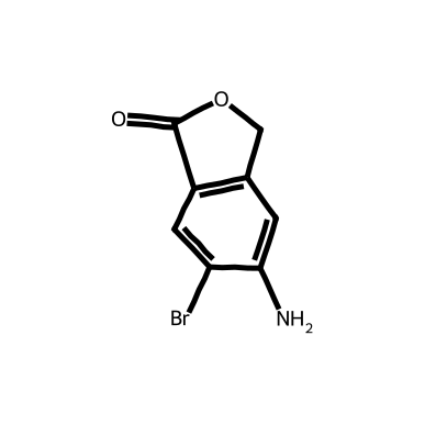 Nc1cc2c(cc1Br)C(=O)OC2